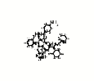 NC1CCN(C(=O)N[C@@H](Cc2ccccc2)C(=O)N[C@@H](Cc2c[nH]cn2)C(=O)N[C@@H](CC2CCCCC2)[C@@H](O)CCSC2=NCCCS2)CC1